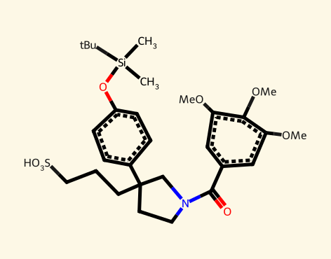 COc1cc(C(=O)N2CCC(CCCS(=O)(=O)O)(c3ccc(O[Si](C)(C)C(C)(C)C)cc3)C2)cc(OC)c1OC